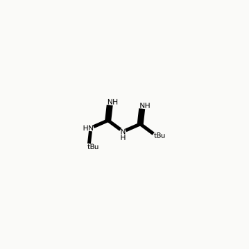 CC(C)(C)NC(=N)NC(=N)C(C)(C)C